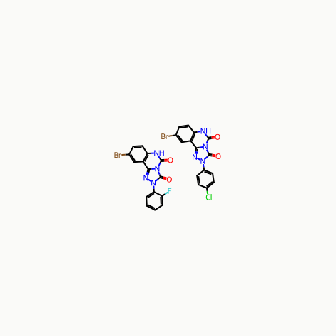 O=c1[nH]c2ccc(Br)cc2c2nn(-c3ccc(Cl)cc3)c(=O)n12.O=c1[nH]c2ccc(Br)cc2c2nn(-c3ccccc3F)c(=O)n12